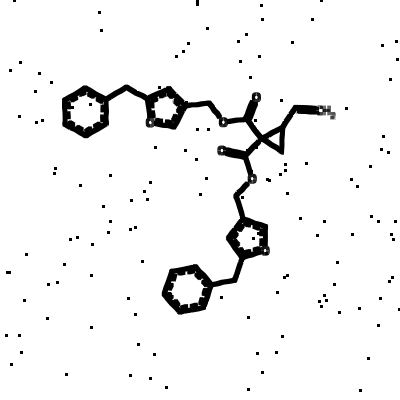 C=CC1CC1(C(=O)OCc1coc(Cc2ccccc2)c1)C(=O)OCc1coc(Cc2ccccc2)c1